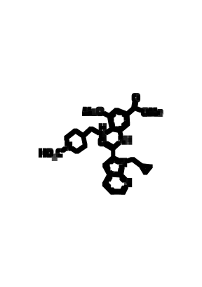 COC(=O)c1cc(NC(=O)c2cc3cccnc3n2CC2CC2)c(NCC2CCN(C(=O)O)CC2)c(OC)c1